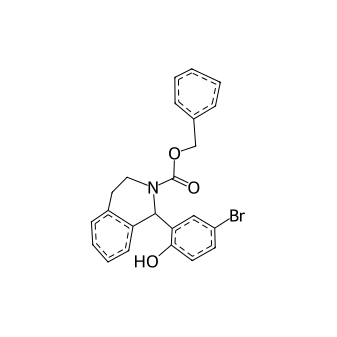 O=C(OCc1ccccc1)N1CCc2ccccc2C1c1cc(Br)ccc1O